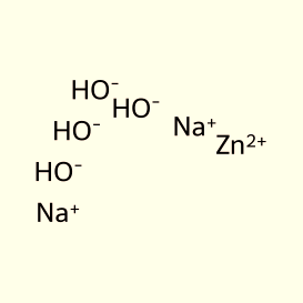 [Na+].[Na+].[OH-].[OH-].[OH-].[OH-].[Zn+2]